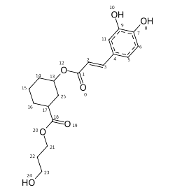 O=C(/C=C/c1ccc(O)c(O)c1)OC1CCCC(C(=O)OCCCO)C1